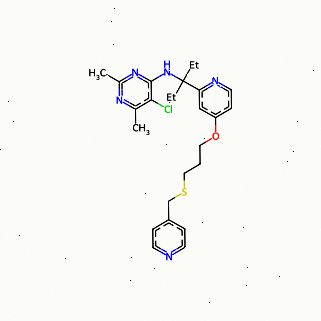 CCC(CC)(Nc1nc(C)nc(C)c1Cl)c1cc(OCCCSCc2ccncc2)ccn1